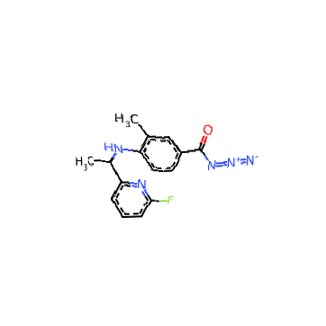 Cc1cc(C(=O)N=[N+]=[N-])ccc1NC(C)c1cccc(F)n1